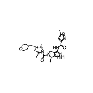 Cc1cc(C(=O)Nc2n[nH]c3c2CN(C(=O)N2C[C@@H](C)N(CC4CCOCC4)C[C@@H]2C)C3C)no1